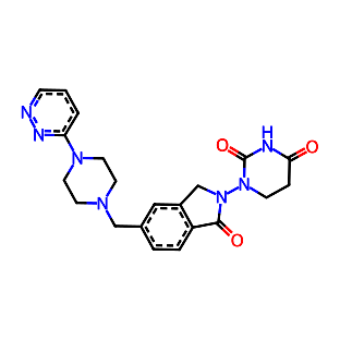 O=C1CCN(N2Cc3cc(CN4CCN(c5cccnn5)CC4)ccc3C2=O)C(=O)N1